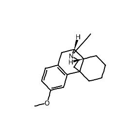 COc1ccc2c(c1)C13CCCC[C@H]1[C@@H](C2)N(C)CC3